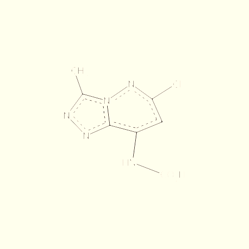 Cc1nnc2c(NC(=O)O)cc(Cl)nn12